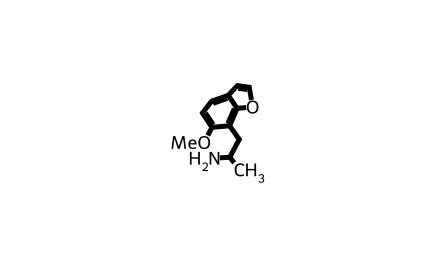 COc1ccc2ccoc2c1CC(C)N